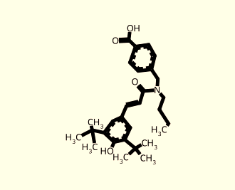 CCCCN(Cc1ccc(C(=O)O)cc1)C(=O)C=Cc1cc(C(C)(C)C)c(O)c(C(C)(C)C)c1